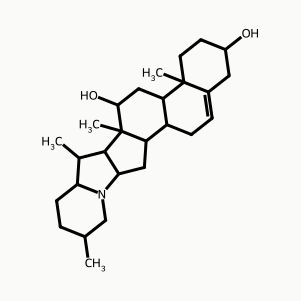 CC1CCC2C(C)C3C(CC4C5CC=C6CC(O)CCC6(C)C5CC(O)C43C)N2C1